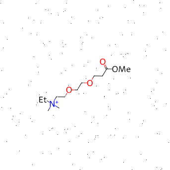 CC[N+](C)(C)CCOCCOCCC(=O)OC